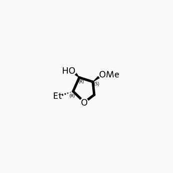 CC[C@H]1OC[C@H](OC)[C@@H]1O